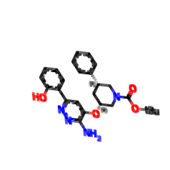 CC(C)(C)OC(=O)N1C[C@H](Oc2cc(-c3ccccc3O)nnc2N)C[C@H](c2ccccc2)C1